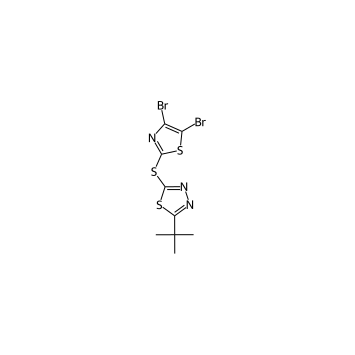 CC(C)(C)c1nnc(Sc2nc(Br)c(Br)s2)s1